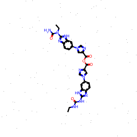 CCNC(=O)Nc1nc2ccc(-n3cnc(C(=O)OC(=O)c4cn(-c5ccc6nc(N(CC)C(N)=O)[nH]c6c5)cn4)c3)cc2[nH]1